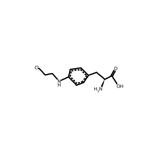 N[C@@H](Cc1ccc(NCCCl)cc1)C(=O)O